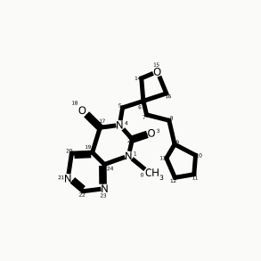 Cn1c(=O)n(CC2(CCC3CCCC3)COC2)c(=O)c2cncnc21